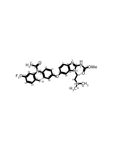 COC(=O)Nc1nc2ccc(Oc3ccc(N(C(N)=O)c4cc(C(F)(F)F)ccc4F)cc3)cc2n1CCN(C)C